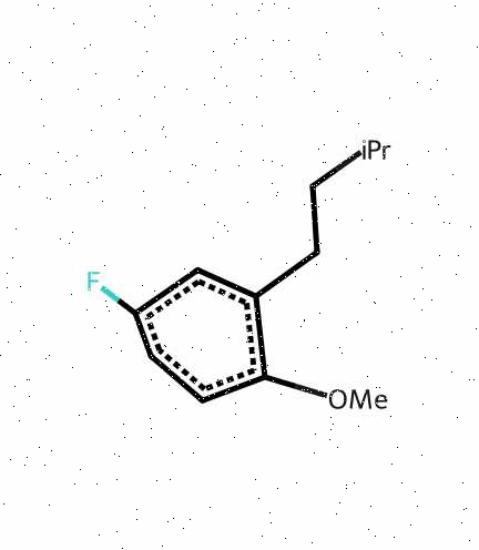 COc1ccc(F)cc1CCC(C)C